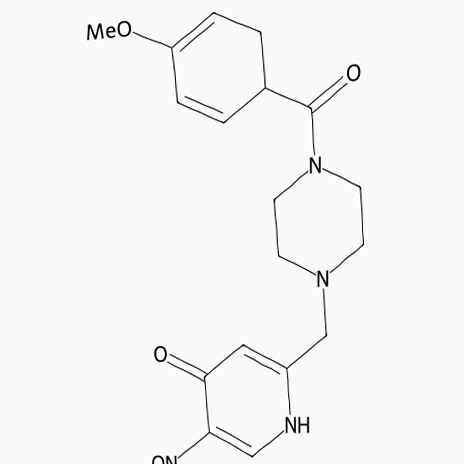 COC1=CCC(C(=O)N2CCN(Cc3cc(=O)c(N=O)c[nH]3)CC2)C=C1